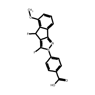 COc1cccc2c1C(F)c1c-2nn(-c2ccc(C(=O)O)cc2)c1F